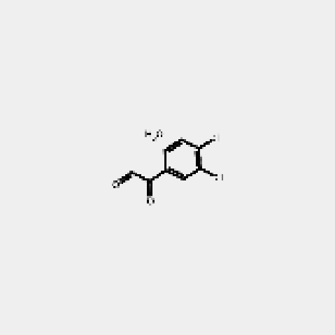 O.O=CC(=O)c1ccc(Cl)c(Cl)c1